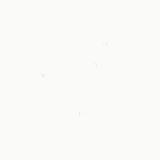 CCCc1cc2c(C(F)(F)F)c(C#N)ccc2n1Cc1ccc(C(=O)O)o1